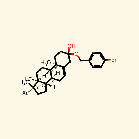 CC(=O)[C@@]1(C)CC[C@H]2[C@@H]3CC=C4CC(O)(OCc5ccc(Br)cc5)CC[C@]4(C)[C@H]3CC[C@@]21C